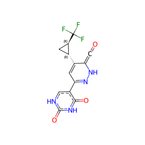 O=C=C1NN=C(c2c[nH]c(=O)[nH]c2=O)C=C1[C@@H]1C[C@H]1C(F)(F)F